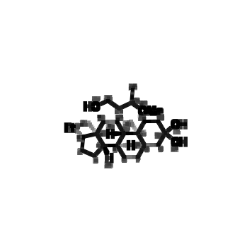 CC[C@H]1CC[C@H]2[C@@H]3CCC4CC(O)(O)CC[C@]4(C)[C@H]3CC[C@]12C.COC(C)CCO